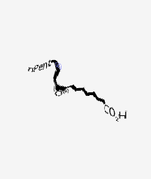 CCCCC/C=C\C[C@@H]1O[C@@H]1CCCCCCCC(=O)O